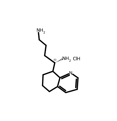 Cl.NCCC[C@H](N)C1CCCc2cccnc21